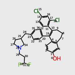 Oc1ccc2c(c1)CCCC(c1ccc(Cl)cc1Cl)=C2c1ccc(CC2CCN(CCC(F)F)C2)cc1